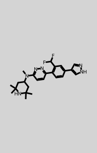 CN(c1ccc(-c2ccc(-c3cn[nH]c3)cc2C(F)F)nn1)C1CC(C)(C)NC(C)(C)C1